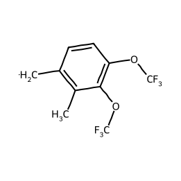 [CH2]c1ccc(OC(F)(F)F)c(OC(F)(F)F)c1C